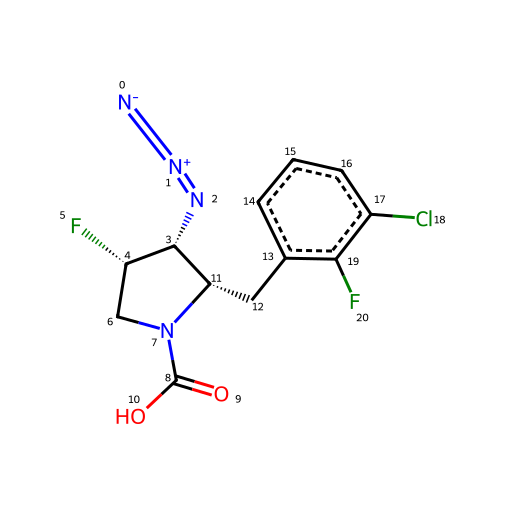 [N-]=[N+]=N[C@H]1[C@@H](F)CN(C(=O)O)[C@H]1Cc1cccc(Cl)c1F